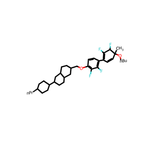 CCCCOC1(C)C=CC(c2ccc(OCC3CCC4CC(C5CCC(CCC)CC5)CCC4C3)c(F)c2F)=C(F)C1F